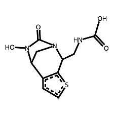 O=C(O)NCC1c2sccc2C2CN1C(=O)N2O